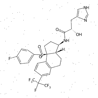 O=C(N[C@@H]1CC[C@@]2(S(=O)(=O)c3ccc(F)cc3)c3ccc(C(F)(C(F)(F)F)C(F)(F)F)cc3CC[C@@H]12)[C@@H](O)Cc1c[nH]cn1